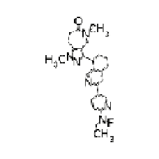 CCN(F)c1ccc(-c2cc3cccc(-c4nn(C)c5c4CN(C)C(=O)CC5)c3cn2)cn1